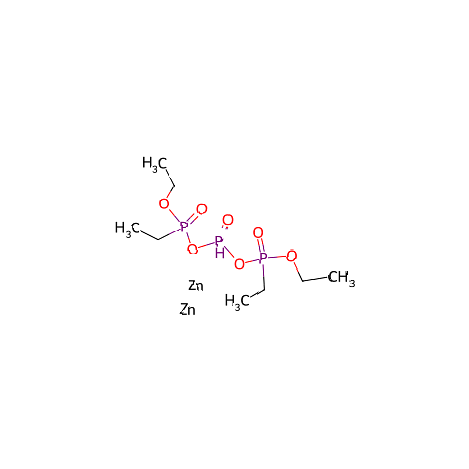 CCOP(=O)(CC)O[PH](=O)OP(=O)(CC)OCC.[Zn].[Zn]